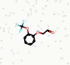 O=CCOc1ccccc1OC(F)(F)F